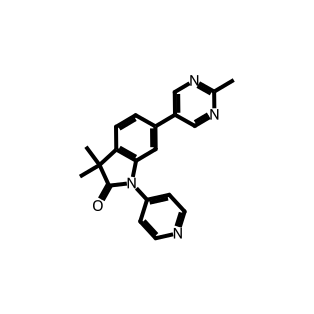 Cc1ncc(-c2ccc3c(c2)N(c2ccncc2)C(=O)C3(C)C)cn1